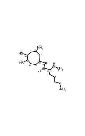 CN[C@@H](CCCCN)C(=O)NC1CCC(S)C(S)CC(N)C1